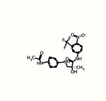 CC(=O)Nc1ccc(NC[C@](C)(O)C(=O)Nc2ccc([N+](=O)[O-])c(C(F)(F)F)c2)cc1